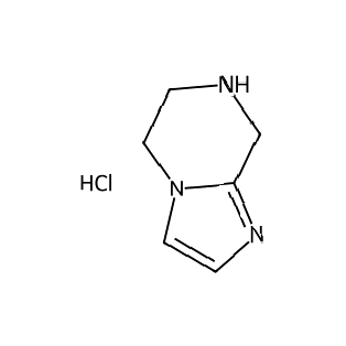 Cl.c1cn2c(n1)CNCC2